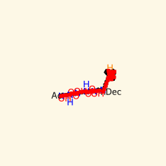 CCCCCCCCCCN(CCCCCCCCCC[PH](c1ccccc1)(c1ccccc1)c1ccccc1)CCCCCN(O)C(=O)CCC(=O)NCCCCCN(O)C(=O)CCC(=O)NCCCCCN(O)C(C)=O